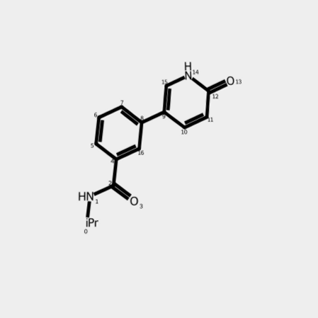 CC(C)NC(=O)c1cccc(-c2ccc(=O)[nH]c2)c1